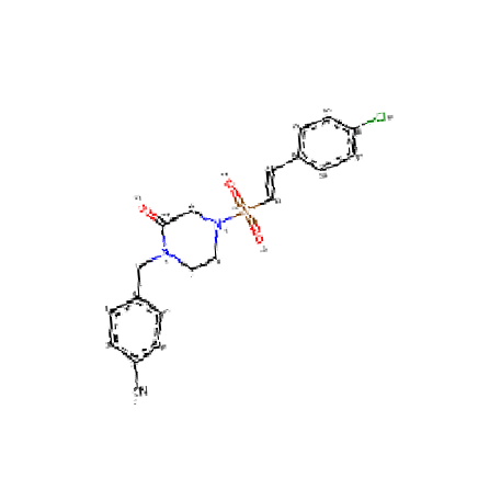 N#Cc1ccc(CN2CCN(S(=O)(=O)C=Cc3ccc(Cl)cc3)CC2=O)cc1